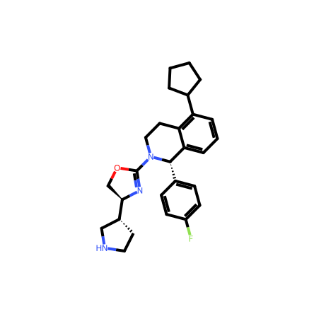 Fc1ccc([C@H]2c3cccc(C4CCCC4)c3CCN2C2=N[C@@H]([C@@H]3CCNC3)CO2)cc1